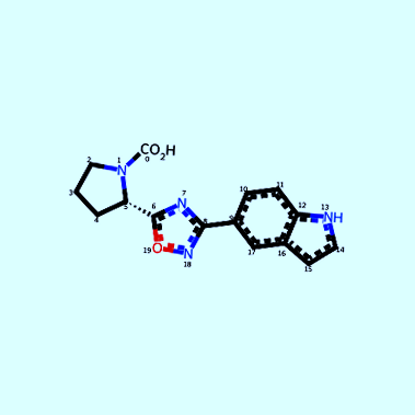 O=C(O)N1CCC[C@H]1c1nc(-c2ccc3[nH]ccc3c2)no1